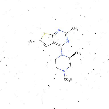 CCCc1cc2c(N3CCN(C(=O)O)C[C@@H]3C)nc(C)nc2s1